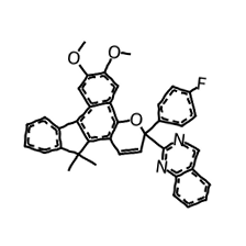 COc1cc2c3c(c4c(c2cc1OC)-c1ccccc1C4(C)C)C=CC(c1ccc(F)cc1)(c1ncc2ccccc2n1)O3